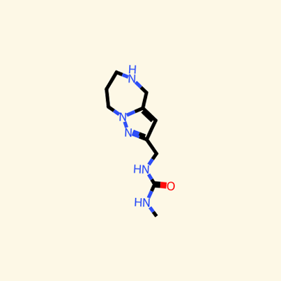 CNC(=O)NCc1cc2n(n1)CCCNC2